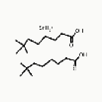 CC(C)(C)CCCCCC(=O)O.CC(C)(C)CCCCCC(=O)O.[SnH2]